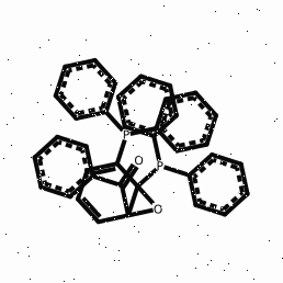 O=C(c1ccccc1)C12C=CC=C(P(c3ccccc3)c3ccccc3)C1(P(c1ccccc1)c1ccccc1)O2